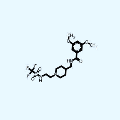 COc1cc(OC)cc(C(=O)NCC2CCN(CCNS(=O)(=O)C(F)(F)F)CC2)c1